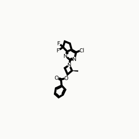 C[C@H]1[C@H](OC(=O)c2ccccc2)CN1c1nc(Cl)c2c(n1)C(F)(F)CC2